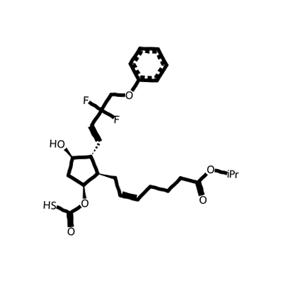 CC(C)OC(=O)CCC/C=C\C[C@@H]1[C@@H](/C=C/C(F)(F)COc2ccccc2)[C@H](O)C[C@@H]1OC(=O)S